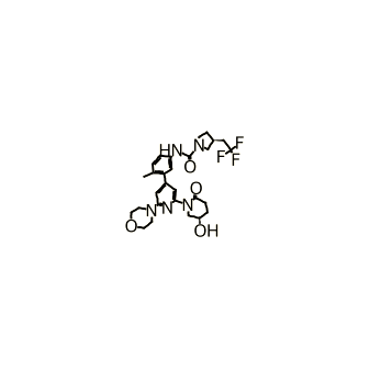 Cc1ccc(NC(=O)N2CC[C@@H](CC(F)(F)F)C2)cc1-c1cc(N2CCOCC2)nc(N2C[C@H](O)CCC2=O)c1